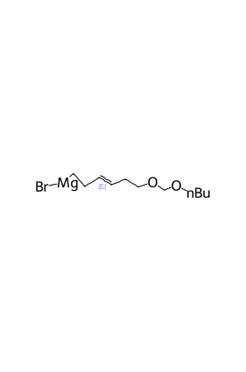 CCCCOCOCC/C=C/C[CH2][Mg][Br]